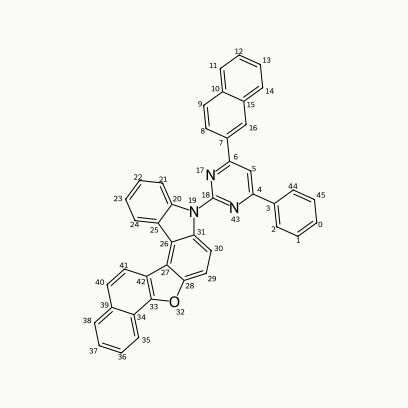 c1ccc(-c2cc(-c3ccc4ccccc4c3)nc(-n3c4ccccc4c4c5c(ccc43)oc3c4ccccc4ccc35)n2)cc1